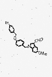 COc1ccc2c(c1)c(C=O)cn2Cc1ccc(OCc2ccc(Br)cc2)cc1